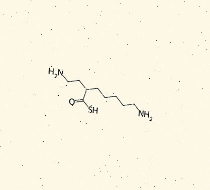 NCCCCCC(CCN)C(=O)S